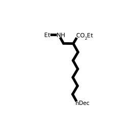 CCCCCCCCCCCCCCCCC(CNCC)C(=O)OCC